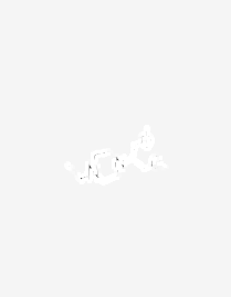 CCN1CCN(C(COC)COC)CC1